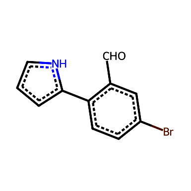 O=Cc1cc(Br)ccc1-c1ccc[nH]1